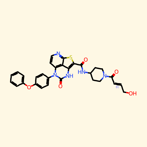 O=C(NC1CCN(C(=O)/C=C/CO)CC1)c1sc2nccc3c2c1NC(=O)N3c1ccc(Oc2ccccc2)cc1